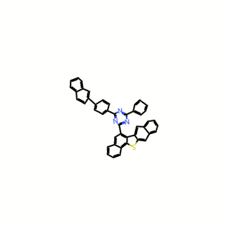 c1ccc(-c2nc(-c3ccc(-c4ccc5ccccc5c4)cc3)nc(-c3cc4ccccc4c4sc5cc6ccccc6cc5c34)n2)cc1